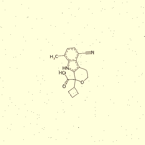 Cc1ccc(C#N)c2c3c([nH]c12)C(C(=O)O)(C1CCC1)OCC3